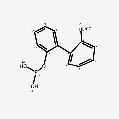 CCCCCCCCCCc1ccccc1-c1ccccc1OP(O)O